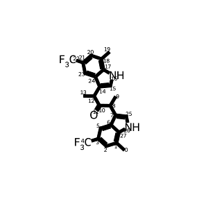 Cc1cc(C(F)(F)F)cc2c(C(C)C(=O)C(C)c3c[nH]c4c(C)cc(C(F)(F)F)cc34)c[nH]c12